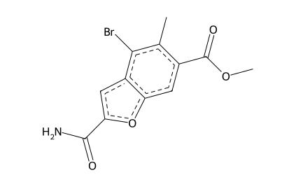 COC(=O)c1cc2oc(C(N)=O)cc2c(Br)c1C